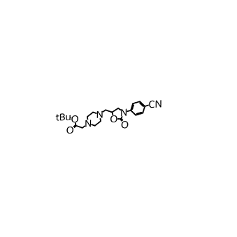 CC(C)(C)OC(=O)CN1CCN(CC2CN(c3ccc(C#N)cc3)C(=O)O2)CC1